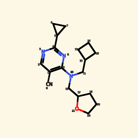 N#Cc1cnc(C2CC2)nc1N(CC1CCC1)CC1CCCO1